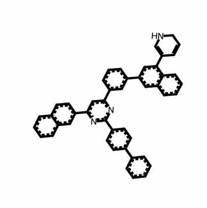 C1=CC(c2cc(-c3cccc(-c4cc(-c5ccc6ccccc6c5)nc(-c5ccc(-c6ccccc6)cc5)n4)c3)cc3ccccc23)=CNC1